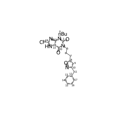 CCCCn1c(=O)n(CCCc2cc(Cc3ccccc3)no2)c(=O)c2[nH]c(Cl)nc21